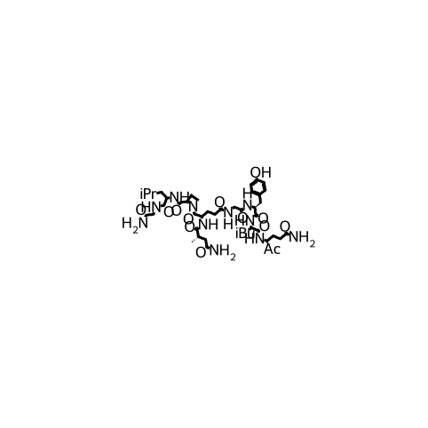 CCC(C)C(NC(=O)[C@H](Cc1ccc(O)cc1)NC(=O)CNC(=O)CCC(NC(=O)[C@@H](C)CC(N)=O)C(=O)N1CCC1C(=O)NC(CC(C)C)C(=O)NCC(N)=O)C(=O)N[C@@H](CCC(N)=O)C(C)=O